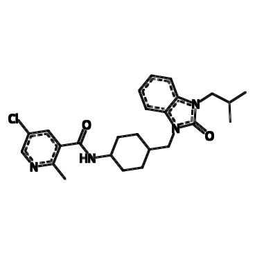 Cc1ncc(Cl)cc1C(=O)NC1CCC(Cn2c(=O)n(CC(C)C)c3ccccc32)CC1